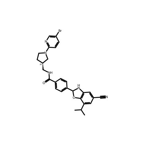 CC(C)c1cc(C#N)cc2c1OC(c1ccc(C(=O)NC[C@H]3CCN(c4ccc(Br)cn4)C3)cc1)N2